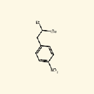 CCC(Cc1ccc([N+](=O)[O-])cc1)C(C)(C)C